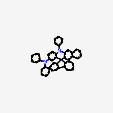 c1ccc(N(c2ccccc2)c2ccc3c(c2)C2(c4ccccc4-c4ccccc42)c2cc4ccccc4cc2N3c2ccccc2)cc1